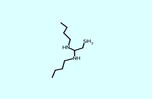 CCCCNC(C[SiH3])NCCCC